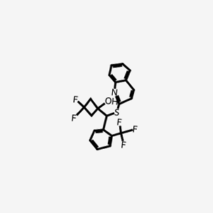 OC1(C(Sc2ccc3ccccc3n2)c2ccccc2C(F)(F)F)CC(F)(F)C1